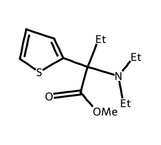 CCN(CC)C(CC)(C(=O)OC)c1cccs1